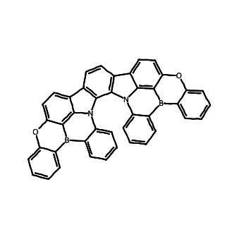 c1ccc2c(c1)Oc1ccc3c4ccc5c6ccc7c8c6n(c5c4n4c3c1B2c1ccccc1-4)-c1ccccc1B8c1ccccc1O7